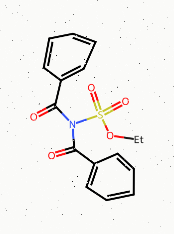 CCOS(=O)(=O)N(C(=O)c1ccccc1)C(=O)c1ccccc1